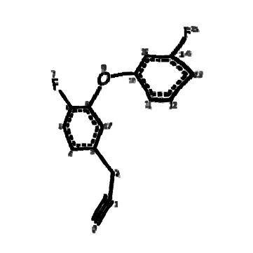 C#CCc1ccc(F)c(Oc2cccc(F)c2)c1